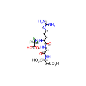 NC(N)=NCCC[C@H](N)C(=O)NCC(=O)N[C@@H](CC(=O)O)C(=O)O.O=C(O)C(F)(F)F